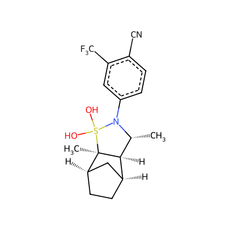 C[C@@H]1[C@H]2[C@H]3CC[C@H](C3)[C@@]2(C)S(O)(O)N1c1ccc(C#N)c(C(F)(F)F)c1